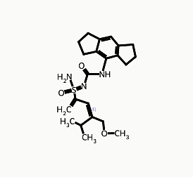 C=C(/C=C(/COC)C(C)C)S(N)(=O)=NC(=O)Nc1c2c(cc3c1CCC3)CCC2